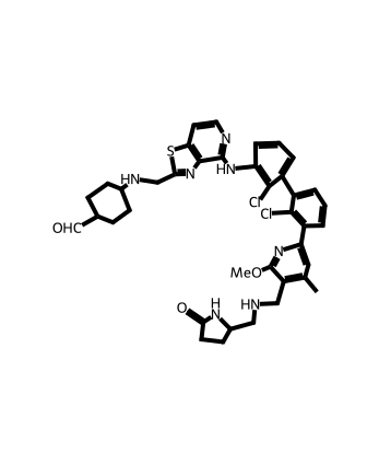 COc1nc(-c2cccc(-c3cccc(Nc4nccc5sc(CNC6CCC(C=O)CC6)nc45)c3Cl)c2Cl)cc(C)c1CNCC1CCC(=O)N1